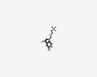 C[Si](C)(C)CCOCn1cc(I)c2cc(Cl)ncc21